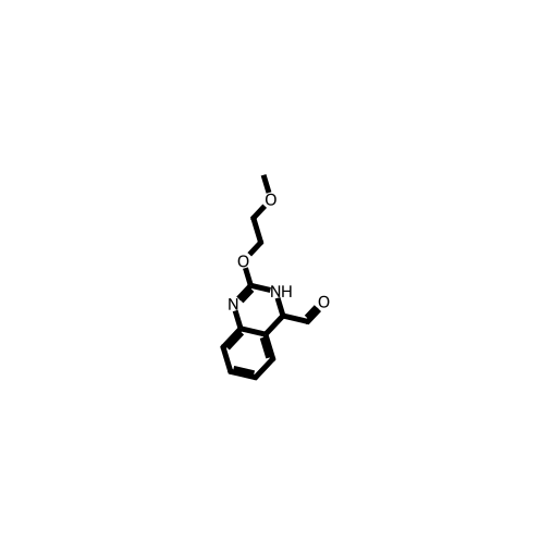 COCCOC1=Nc2ccccc2C(C=O)N1